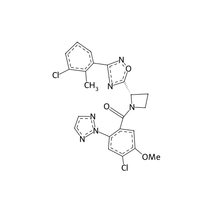 COc1cc(C(=O)N2CC[C@H]2c2nc(-c3cccc(Cl)c3C)no2)c(-n2nccn2)cc1Cl